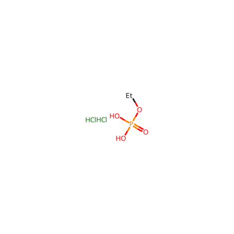 CCOP(=O)(O)O.Cl.Cl